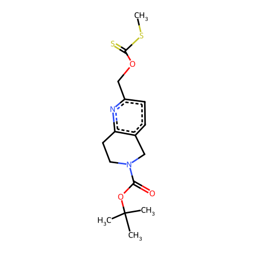 CSC(=S)OCc1ccc2c(n1)CCN(C(=O)OC(C)(C)C)C2